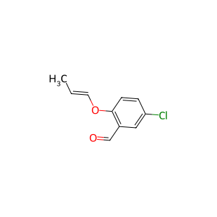 CC=COc1ccc(Cl)cc1C=O